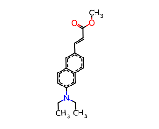 CCN(CC)c1ccc2cc(C=CC(=O)OC)ccc2c1